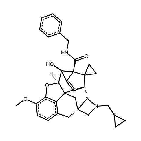 COc1ccc2c3c1O[C@@H]1C34C[C@]3(C2)CN(CC2CC2)C3[C@]2(C=C3C1(O)[C@]3(C(=O)NCc1ccccc1)C21CC1)C4